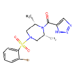 C[C@@H]1CN(S(=O)(=O)c2ccccc2Br)C[C@H](C)N1C(=O)c1cnn[nH]1